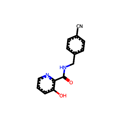 N#Cc1ccc(CNC(=O)c2ncccc2O)cc1